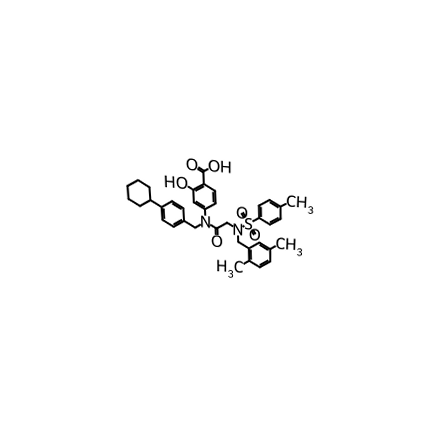 Cc1ccc(S(=O)(=O)N(CC(=O)N(Cc2ccc(C3CCCCC3)cc2)c2ccc(C(=O)O)c(O)c2)Cc2cc(C)ccc2C)cc1